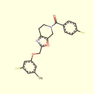 N#Cc1cc(F)cc(OCc2nc3c(o2)CN(C(=O)c2ccc(F)cc2)CC3)c1